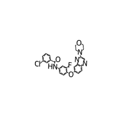 O=C(Nc1ccc(Oc2ccc3ncc(N4CCOCC4)nc3c2)c(F)c1)c1cccc(Cl)c1